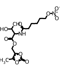 Cc1oc(=O)oc1COC(=O)C(NC(=O)CCCCCO[N+](=O)[O-])C(C)O